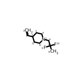 C=CC1CCN(CC(C)(F)F)CC1